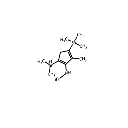 CC1=[C]([Sn]([CH3])([CH3])[CH3])CC([SiH](C)C)=C1NC(C)C